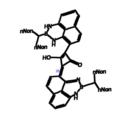 CCCCCCCCCC(CCCCCCCCC)B1N=c2/c(=C3\C(=O)C(c4ccc5cccc6c5c4NB(C(CCCCCCCCC)CCCCCCCCC)N6)=C3O)ccc3cccc(c23)N1